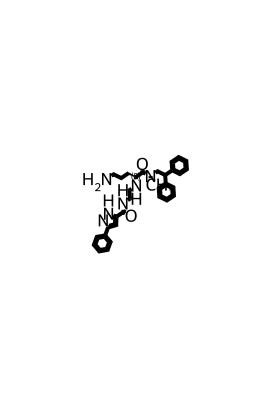 CN(CC(c1ccccc1)c1ccccc1)C(=O)[C@H](CCCN)NCCNC(=O)c1cc(-c2ccccc2)n[nH]1